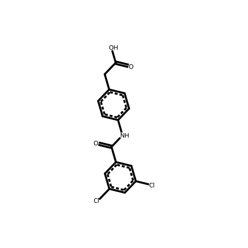 O=C(O)Cc1ccc(NC(=O)c2cc(Cl)cc(Cl)c2)cc1